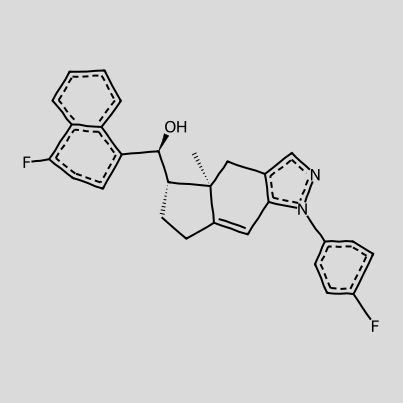 C[C@]12Cc3cnn(-c4ccc(F)cc4)c3C=C1CC[C@@H]2[C@H](O)c1ccc(F)c2ccccc12